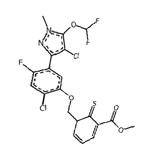 COC(=O)C1=CC=CC(COc2cc(-c3nn(C)c(OC(F)F)c3Cl)c(F)cc2Cl)C1=S